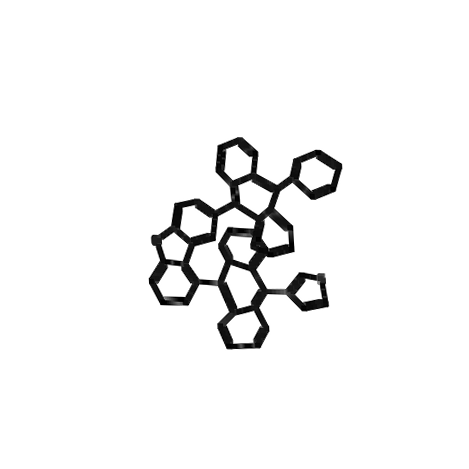 c1ccc(-c2c3ccccc3c(-c3ccc4oc5cccc(-c6c7ccccc7c(-c7ccsc7)c7ccccc67)c5c4c3)c3ccccc23)cc1